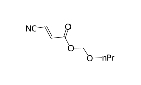 CCCOCOC(=O)C=CC#N